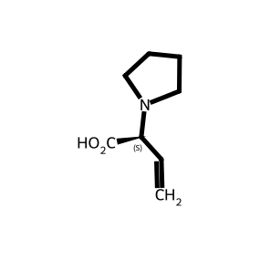 C=C[C@@H](C(=O)O)N1CCCC1